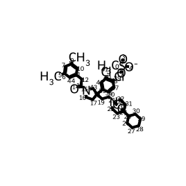 CS(=O)(=O)[O-].Cc1cc(C)cc(CC(=O)N2CCC(CC[N+]34CCC(C5CCCCC5)(CC3)CC4)(c3ccc(Cl)c(Cl)c3)C2)c1